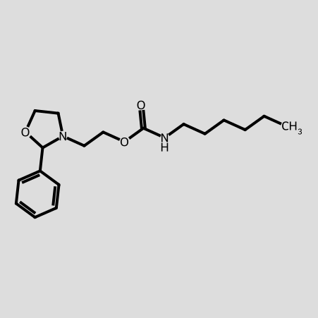 CCCCCCNC(=O)OCCN1CCOC1c1ccccc1